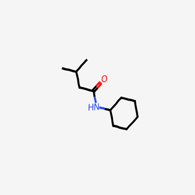 CC(C)CC(=O)NC1CCCCC1